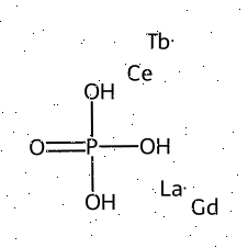 O=P(O)(O)O.[Ce].[Gd].[La].[Tb]